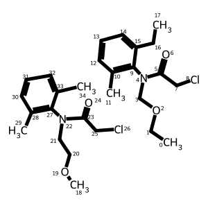 CCOCN(C(=O)CCl)c1c(C)cccc1CC.COCCN(C(=O)CCl)c1c(C)cccc1C